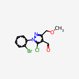 COCc1nn(-c2ccccc2Br)c(Cl)c1C=O